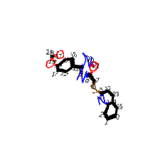 c1ccc2nc(SCc3nc(-c4ccc5c(c4)OCO5)no3)ccc2c1